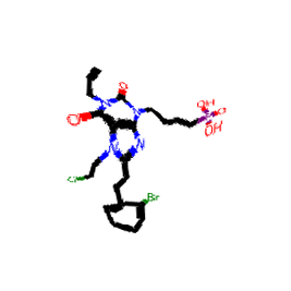 C#CCn1c(=O)c2c(nc(CCc3ccccc3Br)n2CCCl)n(CCCCP(=O)(O)O)c1=O